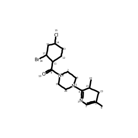 CC1=CN=C(N2CCN(C(=O)C3CCC(Cl)CC3Br)CC2)C(C)C1